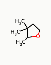 C[C]1OCCC1(C)C